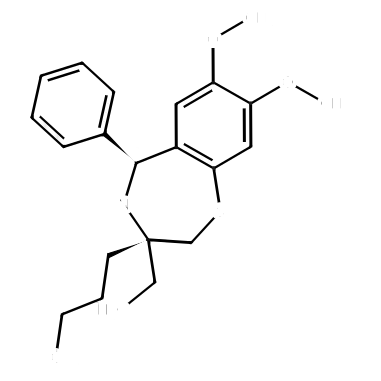 CCCC[C@]1(CC)CSc2cc(OC)c(OC)cc2[C@H](c2ccccc2)N1